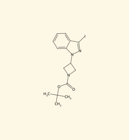 CC(C)(C)OC(=O)N1CC(n2nc(I)c3ccccc32)C1